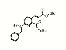 CCCCOC(=O)c1nc(N(Cc2ccccc2)C(C)C)ccc1/C=C/C(=O)OC(C)(C)C